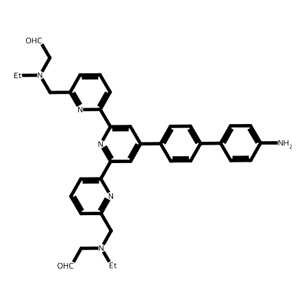 CCN(CC=O)Cc1cccc(-c2cc(-c3ccc(-c4ccc(N)cc4)cc3)cc(-c3cccc(CN(CC)CC=O)n3)n2)n1